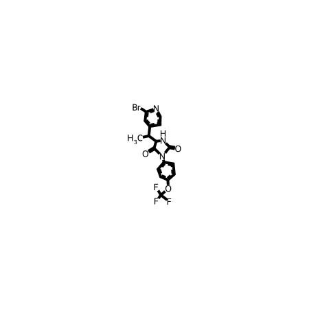 CC(c1ccnc(Br)c1)C1NC(=O)N(c2ccc(OC(F)(F)F)cc2)C1=O